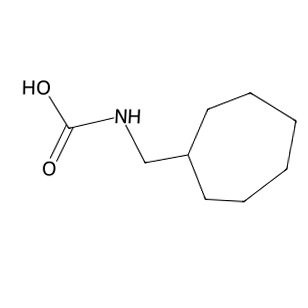 O=C(O)NCC1CCCCCC1